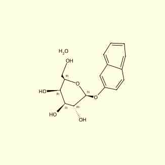 O.OC[C@H]1O[C@@H](Oc2ccc3ccccc3c2)[C@H](O)[C@@H](O)[C@H]1O